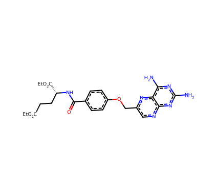 CCOC(=O)CC[C@@H](NC(=O)c1ccc(OCc2cnc3nc(N)nc(N)c3n2)cc1)C(=O)OCC